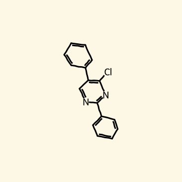 Clc1nc(-c2ccccc2)ncc1-c1ccccc1